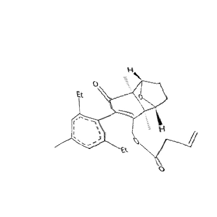 C=CCC(=O)OC1=C(c2c(CC)cc(C)cc2CC)C(=O)[C@@]2(C)[C@@H]3CC[C@@H](O3)[C@@]12C